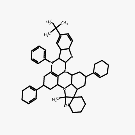 CC(C)(C)C1=CC2C(C=C1)SC1B3C4=C(CC(C5=CCCC=C5)CC4N4C5C3CC(C3=CCCCC3)CC5C3(CCCCC3)C4(C)C)N(c3ccccc3)C12